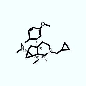 CC[C@]12C3C[C@@]3(N(C)C)C[C@@]1(c1cc(OC)ccc1C)CCN(CC1CC1)[C@@H]2C